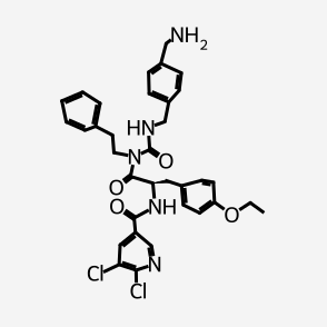 CCOc1ccc(C[C@@H](NC(=O)c2cnc(Cl)c(Cl)c2)C(=O)N(CCc2ccccc2)C(=O)NCc2ccc(CN)cc2)cc1